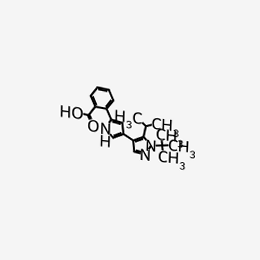 CC(C)c1c(-c2c[nH]c(-c3ccccc3C(=O)O)c2)cnn1C(C)(C)C